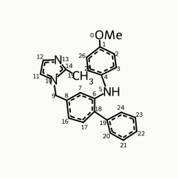 COc1ccc(Nc2cc(Cn3ccnc3C)ccc2-c2ccccc2)cc1